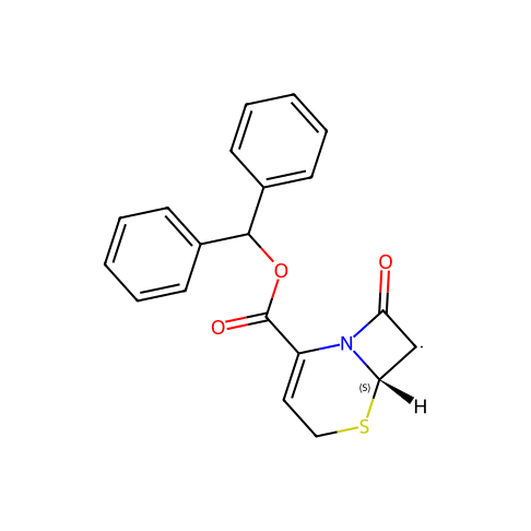 O=C(OC(c1ccccc1)c1ccccc1)C1=CCS[C@H]2[CH]C(=O)N12